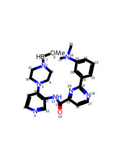 COBN1CCN(c2ccncc2NC(=O)c2ccnc(-c3cccc(N(C)C)c3)n2)CC1